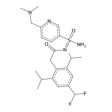 CC(C)c1cc(C(F)F)cc(C(C)C)c1CC(=O)N=S(N)(=O)c1ccc(CN(C)C)nc1